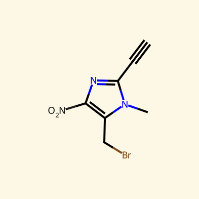 C#Cc1nc([N+](=O)[O-])c(CBr)n1C